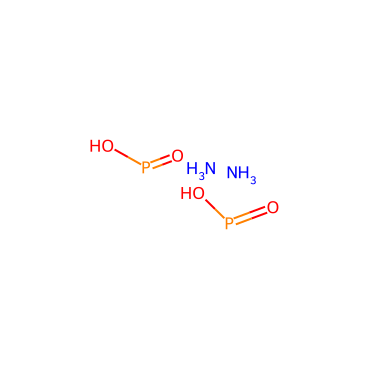 N.N.O=PO.O=PO